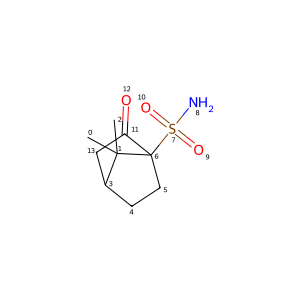 CC1(C)C2CCC1(S(N)(=O)=O)C(=O)C2